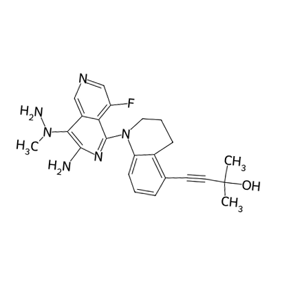 CN(N)c1c(N)nc(N2CCCc3c(C#CC(C)(C)O)cccc32)c2c(F)cncc12